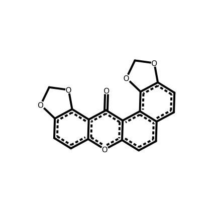 O=c1c2c3c(ccc2oc2ccc4ccc5c(c4c12)OCO5)OCO3